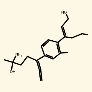 C=C=C(CCC(C)(N)O)c1ccc(/C(=C/CO)CCC)c(C)c1